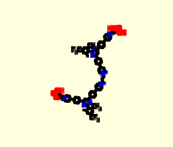 Cc1cc(C(F)(F)F)cc(C(F)(F)F)c1-c1nc(-c2ccc(-c3cc[n+](CCC[n+]4ccc(-c5ccc(-c6cc(-c7ccc(-c8cc[n+](CCP(=O)(O)O)cc8)cc7)nc(-c7c(C)cc(C(F)(F)F)cc7C(F)(F)F)n6)cc5)cc4)cc3)cc2)cc(-c2ccc(-c3cc[n+](CCP(=O)(O)O)cc3)cc2)n1